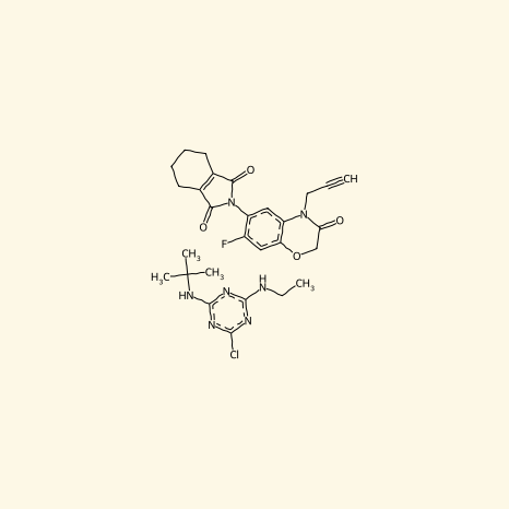 C#CCN1C(=O)COc2cc(F)c(N3C(=O)C4=C(CCCC4)C3=O)cc21.CCNc1nc(Cl)nc(NC(C)(C)C)n1